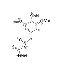 CNC(=S)NC(=O)Cc1cc(OC)c(OC)c(OC)c1